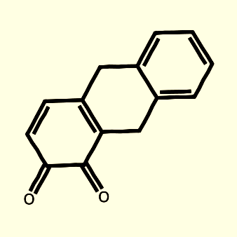 O=C1C=CC2=C(Cc3ccccc3C2)C1=O